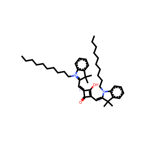 CCCCCCCCCCN1/C(=C\C2=C(O)C(=C\C3=[N+](CCCCCCCCCC)c4ccccc4C3(C)C)/C2=O)C(C)(C)c2ccccc21